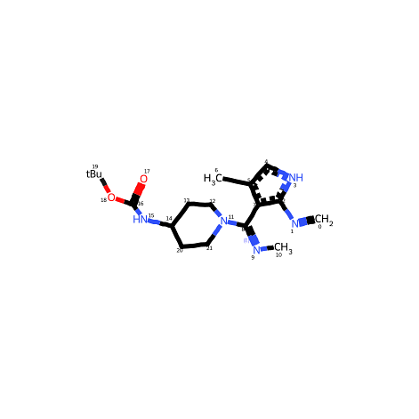 C=Nc1[nH]cc(C)c1/C(=N\C)N1CCC(NC(=O)OC(C)(C)C)CC1